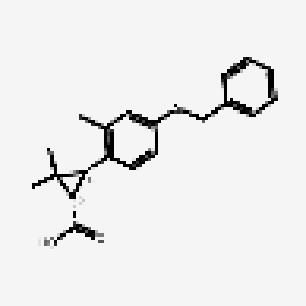 Cc1cc(SCc2ccccc2)ccc1[C@H]1[C@H](C(=O)O)C1(C)C